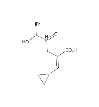 CC(C)C(O)[PH](=O)C/C(=C\C1CC1)C(=O)O